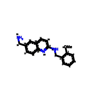 COc1ccccc1CNc1ccc2cc(CN)ccc2n1